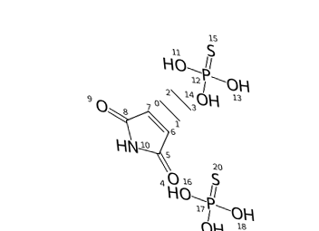 CC.CC.O=C1C=CC(=O)N1.OP(O)(O)=S.OP(O)(O)=S